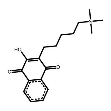 C[Si](C)(C)CCCCCC1=C(O)C(=O)c2ccccc2C1=O